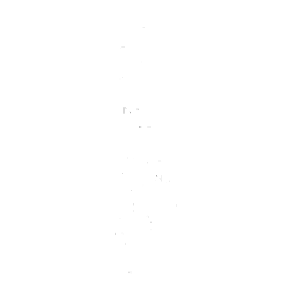 O=C(CC1CC(c2ccc(F)cc2F)=NO1)NCCCCO